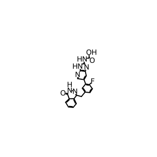 O=C(O)Nc1nc2cc(-c3cc(Cc4n[nH]c(=O)c5ccccc45)ccc3F)cnc2[nH]1